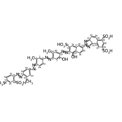 Cc1cc(N=Nc2cc(O)c(N=Nc3c(S(=O)(=O)O)cc4cc(-n5nc6ccc7c(S(=O)(=O)O)cc(S(=O)(=O)O)cc7c6n5)ccc4c3O)cc2C)ccc1N=Nc1ccc(N=Nc2ccc(S(=O)(=O)O)cc2S(=O)(=O)O)c(C)c1